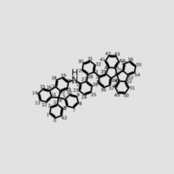 c1ccc(C2(c3ccccc3)c3ccccc3-c3ccc(Nc4ccccc4-c4ccccc4-c4cccc5c4-c4ccccc4C54c5ccccc5-c5ccccc54)cc32)cc1